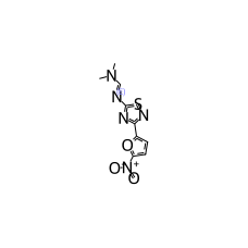 CN(C)/C=N/c1nc(-c2ccc([N+](=O)[O-])o2)ns1